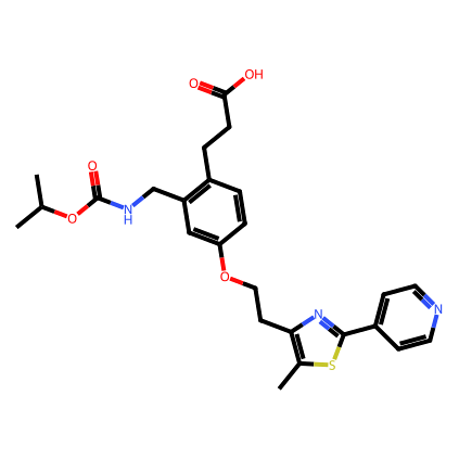 Cc1sc(-c2ccncc2)nc1CCOc1ccc(CCC(=O)O)c(CNC(=O)OC(C)C)c1